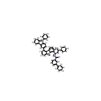 C=C(/N=C(\C=C(/N)c1ccccc1)c1cccc2c1sc1cccc(-c3ccc4c(c3)c3ccccc3n4-c3ccccc3)c12)c1cccc(-c2ccccc2)c1